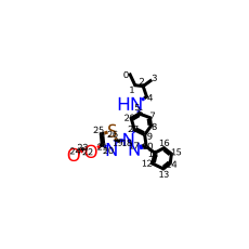 CCC(C)CNc1ccc2c(-c3ccccc3)nn(-c3nc(OC=O)cs3)c2c1